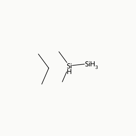 CCC.C[SiH](C)[SiH3]